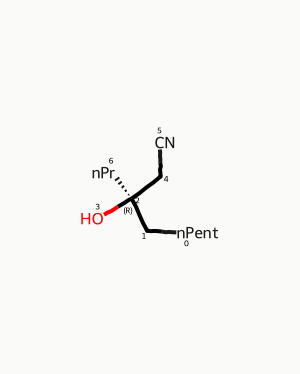 CCCCCC[C@@](O)(CC#N)CCC